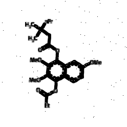 CCCC(C)(C)CC(=O)Oc1c(OC)c(OC)c(OC(=O)CC)c2ccc(OC)cc12